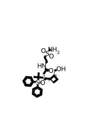 CC(C)(C)[Si](O[C@H](CC(=O)NCCS(N)(=O)=O)[C@@H]1CC[C@H]1CO)(c1ccccc1)c1ccccc1